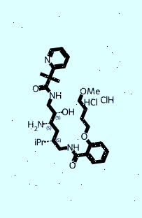 COCCCCOc1ccccc1C(=O)NC[C@@H](C[C@H](N)[C@@H](O)CNC(=O)C(C)(C)c1ccccn1)C(C)C.Cl.Cl